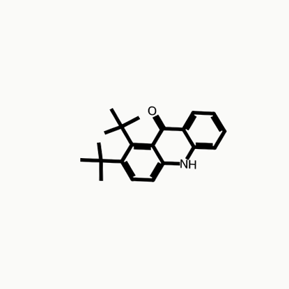 CC(C)(C)c1ccc2[nH]c3ccccc3c(=O)c2c1C(C)(C)C